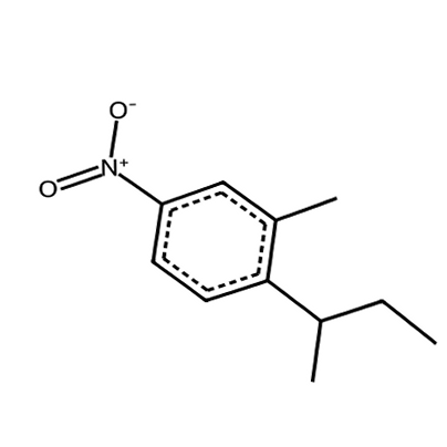 CCC(C)c1ccc([N+](=O)[O-])cc1C